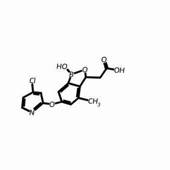 Cc1cc(Oc2cc(Cl)ccn2)cc2c1C(CC(=O)O)OB2O